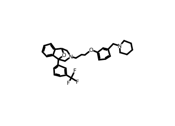 FC(F)(F)c1cccc(C23CN(CCCOc4cccc(CN5CCCCC5)c4)CC(O2)c2ccccc23)c1